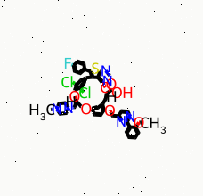 COc1ccccc1-c1nccc(COc2ccc3cc2C[C@H](C(=O)O)Oc2ncnc4sc(-c5ccc(F)cc5)c(c24)-c2cc(Cl)c(c(Cl)c2)O[C@H](CN2CCN(C)CC2)CO3)n1